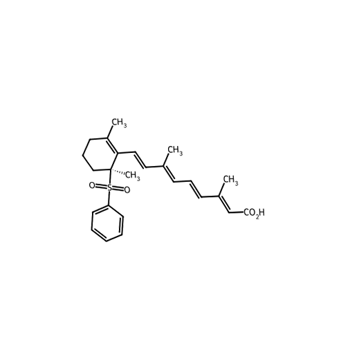 CC1=C(/C=C/C(C)=C/C=C/C(C)=C/C(=O)O)[C@@](C)(S(=O)(=O)c2ccccc2)CCC1